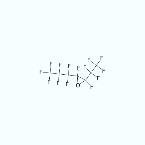 FC(F)(F)C(F)(F)C(F)(F)C1(F)OC1(F)C(F)(F)C(F)(F)F